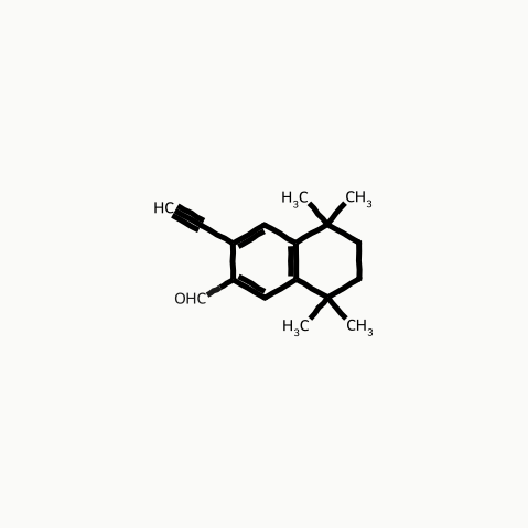 C#Cc1cc2c(cc1C=O)C(C)(C)CCC2(C)C